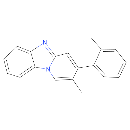 Cc1ccccc1-c1cc2nc3ccccc3n2cc1C